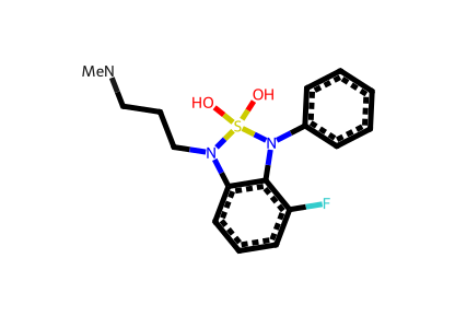 CNCCCN1c2cccc(F)c2N(c2ccccc2)S1(O)O